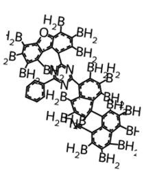 Bc1c(B)c(B)c2c(oc3c(B)c(B)c(B)c(-c4nc(-c5ccccc5)nc(-c5c(B)c(B)c(B)c6c(-c7c(B)c(B)c(B)c8c(B)c(B)c(B)c(C#N)c78)c(B)c(B)c(B)c56)n4)c32)c1B